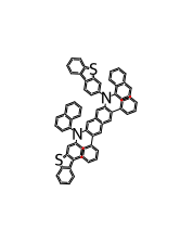 c1ccc(-c2cc3cc(-c4ccccc4)c(N(c4ccc5c(c4)sc4ccccc45)c4cccc5ccccc45)cc3cc2N(c2ccc3c(c2)sc2ccccc23)c2cccc3ccccc23)cc1